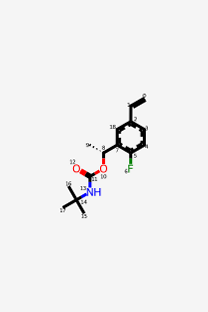 C=Cc1ccc(F)c([C@@H](C)OC(=O)NC(C)(C)C)c1